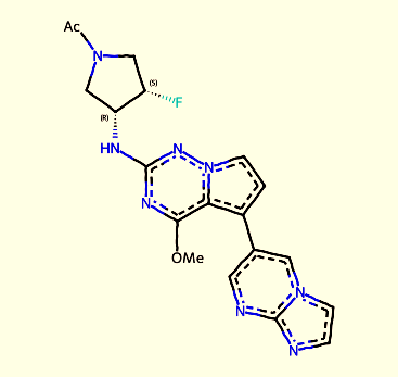 COc1nc(N[C@@H]2CN(C(C)=O)C[C@@H]2F)nn2ccc(-c3cnc4nccn4c3)c12